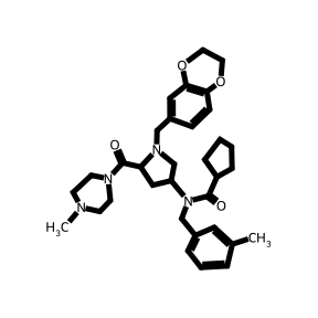 Cc1cccc(CN(C(=O)C2CCCC2)C2CC(C(=O)N3CCN(C)CC3)N(Cc3ccc4c(c3)OCCO4)C2)c1